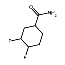 NC(=O)C1CCC(F)C(F)C1